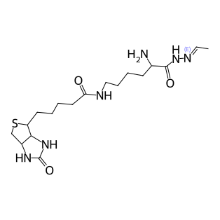 C/C=N/NC(=O)C(N)CCCCNC(=O)CCCCC1SCC2NC(=O)NC21